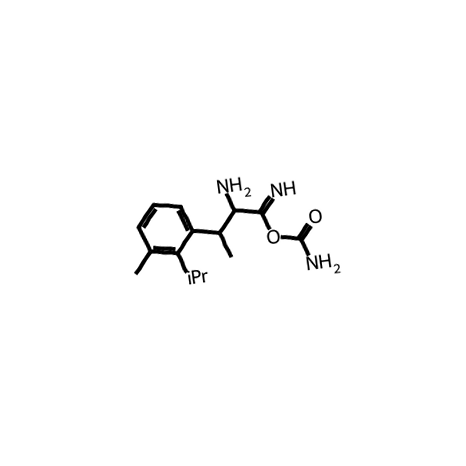 Cc1cccc(C(C)C(N)C(=N)OC(N)=O)c1C(C)C